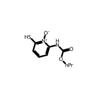 CCCOC(=O)Nc1cccc(S)[n+]1[O-]